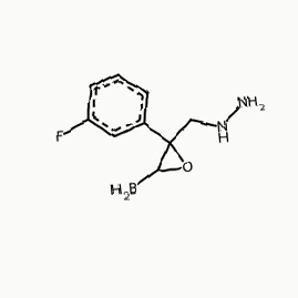 BC1OC1(CNN)c1cccc(F)c1